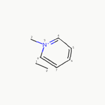 CC.C[n+]1ccccc1